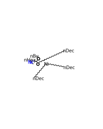 CCCCCCCCCCCCCCCCCCCCCCCCCC=CCCCc1ccccc1C(=C(C=C=[N+]=[N-])CCCCCC)c1cccc(CCCC)c1.CCCCCCCCCCCCCCCCCCCCCC[CH2][Ni][CH2]CCCCCCCCCCCCCCCCCCCCCC